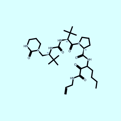 C=CCNC(=O)C(=O)C(CCCC)NC(=O)[C@@H]1CCCN1C(=O)[C@@H](NC(=O)N[C@H](CN1CCCNC1=O)C(C)(C)C)C(C)(C)C